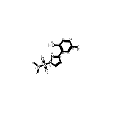 CN(C)S(=O)(=O)n1ccc(-c2cc(Cl)ccc2O)n1